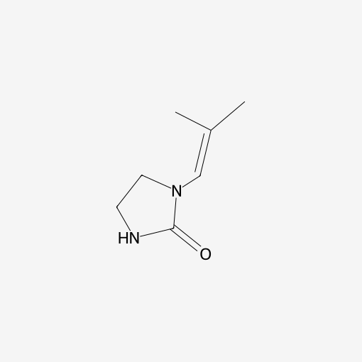 CC(C)=CN1CCNC1=O